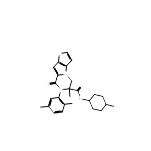 Cc1ccc(Cl)cc1N1C(=O)c2cc3occc3n2CC1(C)C(=O)NC1CCC(C)CC1